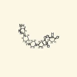 Nc1ccc(N2CCC(CN3CCN(c4ccc5c(c4)C(=O)N(C4CCC(=O)NC4=O)C5=O)CC3)CC2)nn1